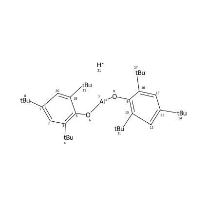 CC(C)(C)c1cc(C(C)(C)C)c([O][Al+][O]c2c(C(C)(C)C)cc(C(C)(C)C)cc2C(C)(C)C)c(C(C)(C)C)c1.[H-]